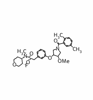 COC1CN(C(=O)c2cc(C)ccc2C)CC1Oc1cccc(CS(=O)(=O)N(C)[C@@H]2CCOC[C@H]2F)c1